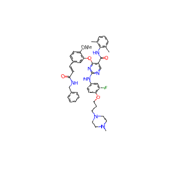 COc1ccc(C=CC(=O)NCc2ccccc2)cc1Oc1nc(Nc2ccc(OCCCN3CCN(C)CC3)c(F)c2)ncc1C(=O)Nc1c(C)cccc1C